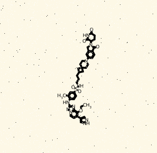 CCOc1c(-c2cn[nH]c2)ccn2nc(Nc3ccc(S(=O)(=O)NCCCC4CC5(CCN(c6ccc7c(c6)CN(C6CCC(=O)NC6=O)C7=O)CC5)C4)cc3C)nc12